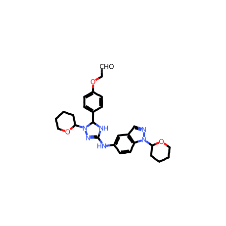 O=CCOc1ccc(C2NC(Nc3ccc4c(cnn4C4CCCCO4)c3)=NN2C2CCCCO2)cc1